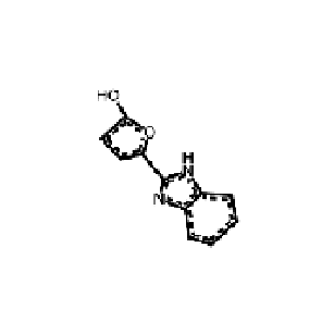 Oc1ccc(-c2nc3ccccc3[nH]2)o1